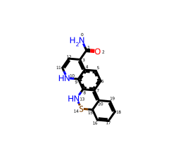 NC(=O)C1=c2ccc3c(c2NC=C1)NSC1C=CC=CC=31